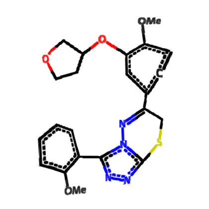 COc1ccc(C2=Nn3c(nnc3-c3ccccc3OC)SC2)cc1OC1CCOC1